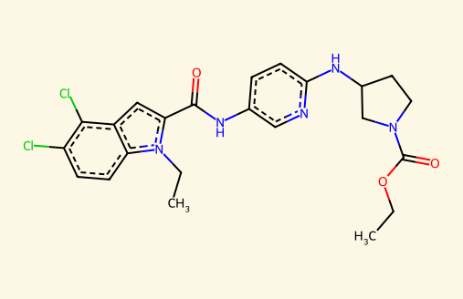 CCOC(=O)N1CCC(Nc2ccc(NC(=O)c3cc4c(Cl)c(Cl)ccc4n3CC)cn2)C1